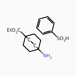 CCOC(=O)C12CCC(N)(CC1)CC2.O=S(=O)(O)c1ccccc1